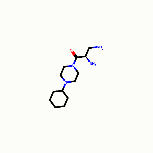 NC[C@@H](N)C(=O)N1CCN(C2CCCCC2)CC1